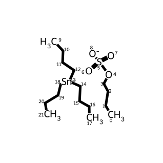 CCCCOS(=O)(=O)[O-].CCC[CH2][Sn+]([CH2]CCC)[CH2]CCC